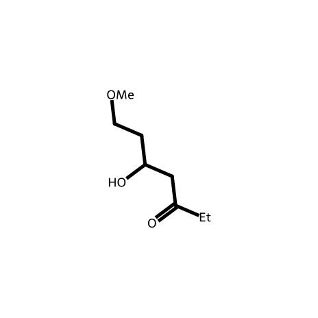 CCC(=O)CC(O)CCOC